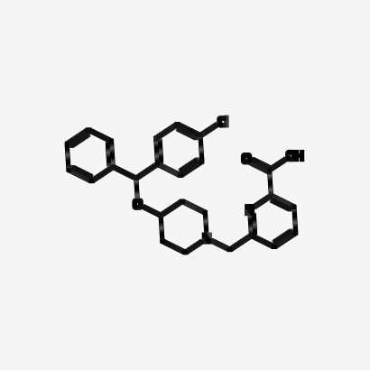 O=C(O)c1cccc(CN2CCC(OC(c3ccccc3)c3ccc(Cl)cc3)CC2)n1